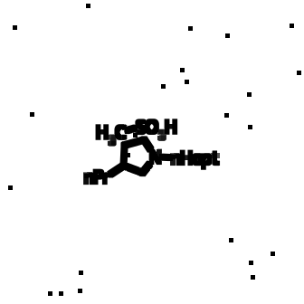 CCCCCCCN1CCC(CCC)C1.CS(=O)(=O)O